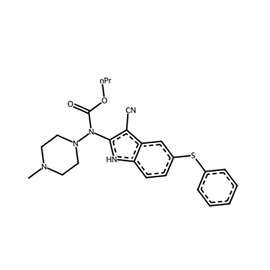 CCCOC(=O)N(c1[nH]c2ccc(Sc3ccccc3)cc2c1C#N)N1CCN(C)CC1